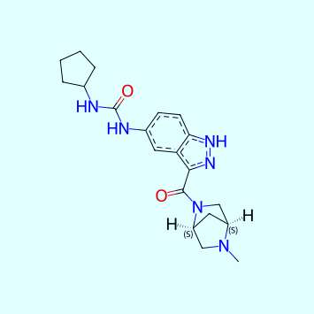 CN1C[C@@H]2C[C@H]1CN2C(=O)c1n[nH]c2ccc(NC(=O)NC3CCCC3)cc12